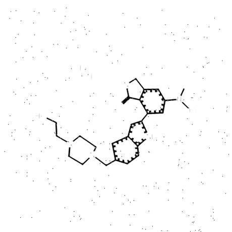 CC(C)N(C)c1cc2c(c(-c3cc4cc(CN5CCN(CCO)CC5)ccc4[nH]3)c1)C(=O)NC2.Cl.Cl